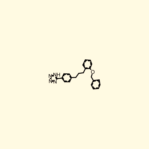 c1ccc(COc2ccccc2CCCc2ccc(-c3nnn[nH]3)cc2)cc1